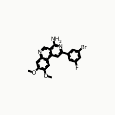 COc1cc2ncc3c(N)nc(-c4cc(F)cc(Br)c4)cc3c2cc1OC